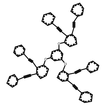 C(#Cc1cccc(Oc2cc(Oc3cccc(C#Cc4ccccc4)c3C#Cc3ccccc3)cc(Oc3cccc(C#Cc4ccccc4)c3C#Cc3ccccc3)c2)c1C#Cc1ccccc1)c1ccccc1